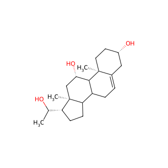 CC(O)[C@H]1CCC2C3CC=C4C[C@@H](O)CC[C@]4(C)C3[C@@H](O)C[C@@]21C